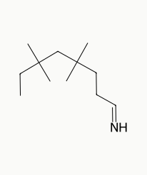 CCC(C)(C)CC(C)(C)CCC=N